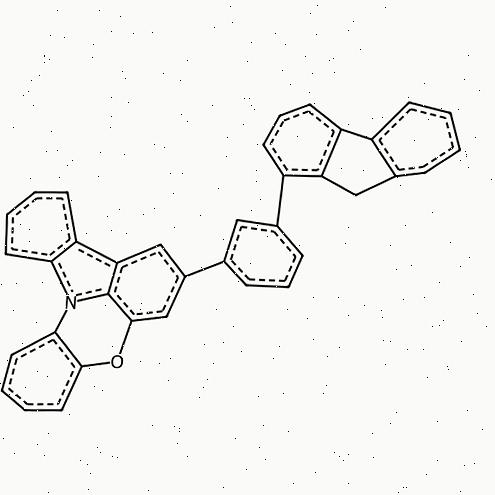 c1cc(-c2cc3c4c(c2)c2ccccc2n4-c2ccccc2O3)cc(-c2cccc3c2Cc2ccccc2-3)c1